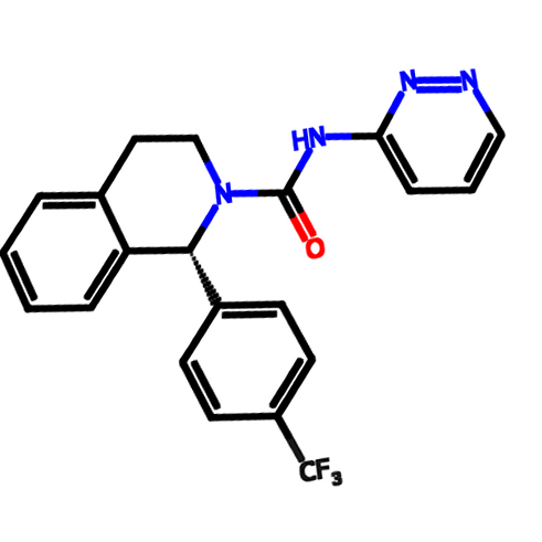 O=C(Nc1cccnn1)N1CCc2ccccc2[C@H]1c1ccc(C(F)(F)F)cc1